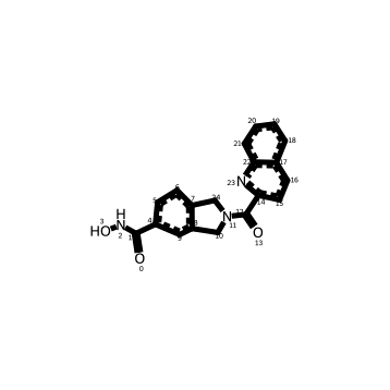 O=C(NO)c1ccc2c(c1)CN(C(=O)c1ccc3ccccc3n1)C2